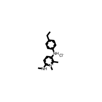 CCc1ccc(Nc2ccc(NC)[n+](C)c2C)cc1.[Cl-]